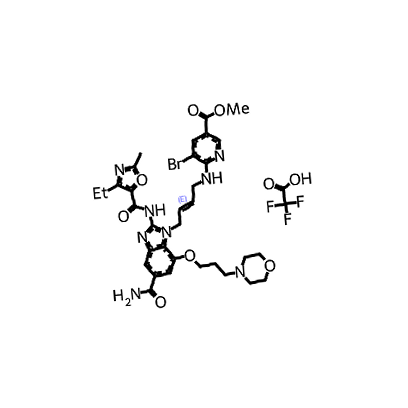 CCc1nc(C)oc1C(=O)Nc1nc2cc(C(N)=O)cc(OCCCN3CCOCC3)c2n1C/C=C/CNc1ncc(C(=O)OC)cc1Br.O=C(O)C(F)(F)F